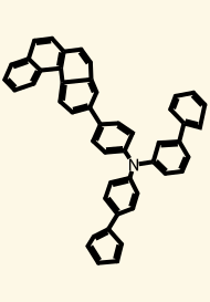 c1ccc(-c2ccc(N(c3ccc(-c4ccc5c(ccc6ccc7ccccc7c65)c4)cc3)c3cccc(-c4ccccc4)c3)cc2)cc1